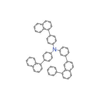 c1ccc(-c2cccc3ccc(-c4cccc(N(c5ccc(-c6cccc7ccccc67)cc5)c5ccc(-c6cccc7ccccc67)cc5)c4)cc23)cc1